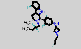 CCC(F)(F)CN1[C@H](c2c(F)cc(NC3CN(CCCF)C3)cc2F)c2[nH]c3cccc(F)c3c2C[C@H]1C